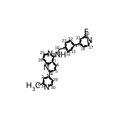 Cc1cc(-c2ccc3c(NCc4ccc(-c5ccnc(F)c5)cc4)nccc3n2)ccn1